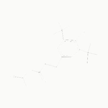 [2H]C(C)OC(=O)CCc1cc(C(C)(C)C)c(O)c(C(C)(C)C)c1